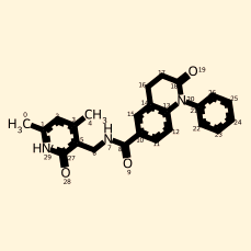 Cc1cc(C)c(CNC(=O)c2ccc3c(c2)CCC(=O)N3c2ccccc2)c(=O)[nH]1